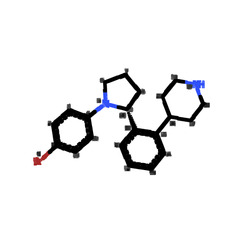 Brc1ccc(N2CCC[C@@H]2c2ccccc2C2CCNCC2)cc1